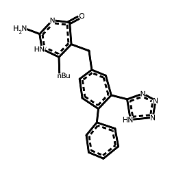 CCCCc1[nH]c(N)nc(=O)c1Cc1ccc(-c2ccccc2)c(-c2nnn[nH]2)c1